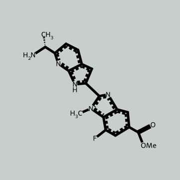 COC(=O)c1cc(F)c2c(c1)nc(-c1cc3ccc([C@@H](C)N)nc3[nH]1)n2C